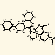 COc1ccc2c(n1)C(=O)CC[C@]21CNCC1C(=O)N1CC[C@@H](c2ccccc2)C[C@H]1C1CCCCC1